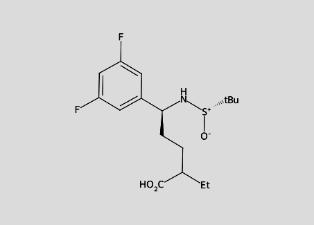 CCC(CC[C@H](N[S@@+]([O-])C(C)(C)C)c1cc(F)cc(F)c1)C(=O)O